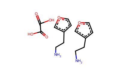 NCCc1ccoc1.NCCc1ccoc1.O=C(O)C(=O)O